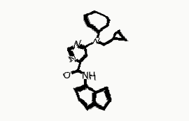 O=C(Nc1cccc2c1C=CC2)c1cc(N(CC2CC2)C2CCCCC2)ncn1